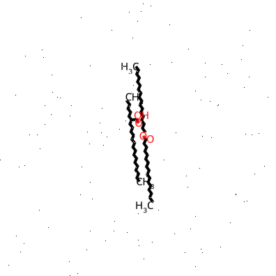 CCCCCCCCCCCCCCCCC(CCCCCC)C(=O)O.CCCCCCCCCCCCCCCCCCOC(=O)CCCCCCCCCCCCCCCCC